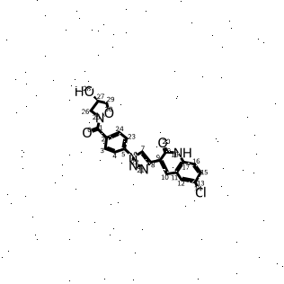 O=C(c1ccc(-n2cc(-c3cc4cc(Cl)ccc4[nH]c3=O)nn2)cc1)N1C[C@@H](O)CO1